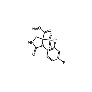 COC(=O)C1(S(=O)(=O)C(C)C)CNC(=O)N1c1ccc(F)cc1F